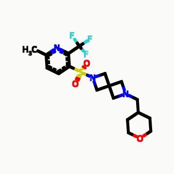 Cc1ccc(S(=O)(=O)N2CC3(CN(CC4CCOCC4)C3)C2)c(C(F)(F)F)n1